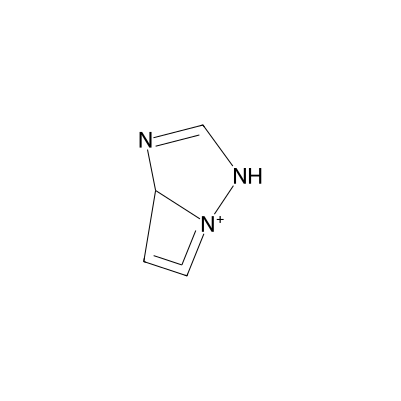 C1=CC2N=CN[N+]=12